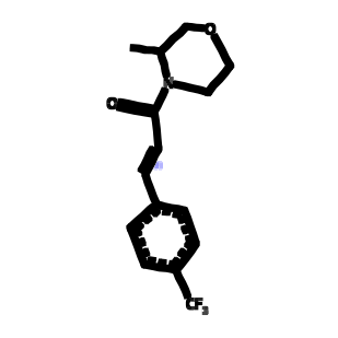 CC1COCCN1C(=O)/C=C/c1ccc(C(F)(F)F)cc1